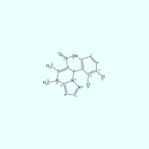 CC1=C(C(=O)O)C(c2cccc(Cl)c2Cl)n2nccc2N1C